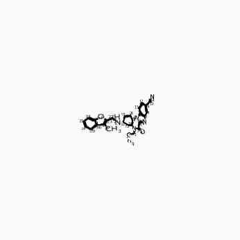 CCN(C(=O)c1nc2cc(C#N)ccc2[nH]1)[C@H]1CCC[C@@H](NCc2oc3ccccc3c2C)C1